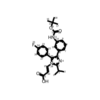 CC(C)c1nc(-c2cccc(NC(=O)OC(C)(C)C)c2)c(-c2ccc(F)cc2)n1C=CC(=O)O